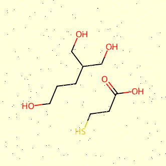 O=C(O)CCS.OCCCC(CO)CO